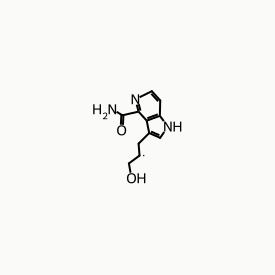 NC(=O)c1nccc2[nH]cc(C[CH]CO)c12